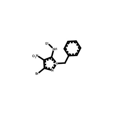 CCNc1c([N+](=O)[O-])c(Br)nn1Cc1ccccc1